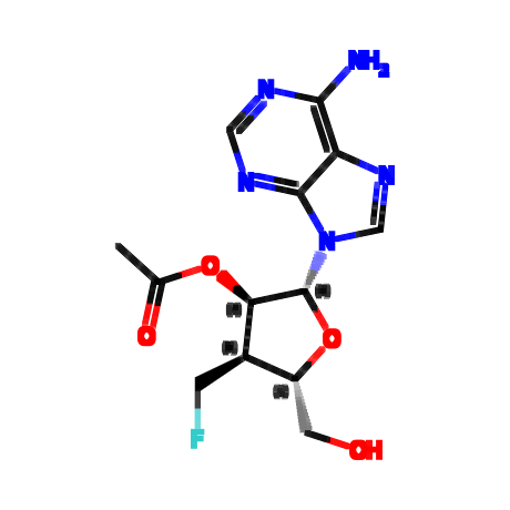 CC(=O)O[C@@H]1[C@H](CF)[C@@H](CO)O[C@H]1n1cnc2c(N)ncnc21